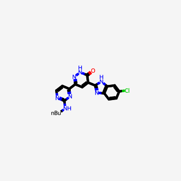 CCCCNc1nccc(-c2cc(-c3nc4ccc(Cl)cc4[nH]3)c(=O)[nH]n2)n1